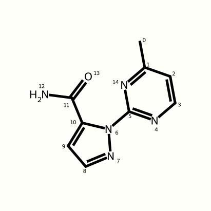 Cc1ccnc(-n2nccc2C(N)=O)n1